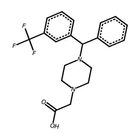 O=C(O)CN1CCN(C(c2ccccc2)c2cccc(C(F)(F)F)c2)CC1